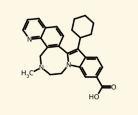 CN1CCn2c(c(C3CCCCC3)c3ccc(C(=O)O)cc32)-c2ccc3cccnc3c2C1